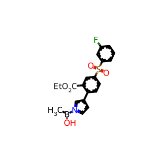 CCOC(=O)c1cc(S(=O)(=O)c2cccc(F)c2)ccc1-c1ccn(B(C)O)c1